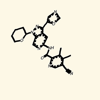 Cc1c(C#N)cnc(C(=O)Nc2cc3c(-c4cnco4)nn(C4CCCCO4)c3cn2)c1C